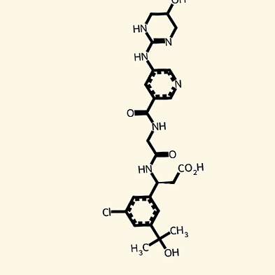 CC(C)(O)c1cc(Cl)cc([C@H](CC(=O)O)NC(=O)CNC(=O)c2cncc(NC3=NCC(O)CN3)c2)c1